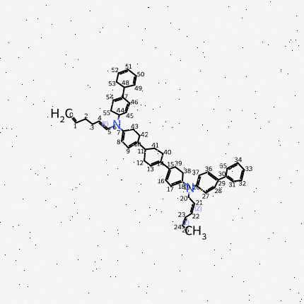 C=CCC/C=C/N(C1=CC=C(C2CC=C(C3=CC=C(N(C/C=C\C=C/C)c4ccc(-c5ccccc5)cc4)CC3)CC2)CC1)C1C=CC(C2C=CC=CC2)=CC1